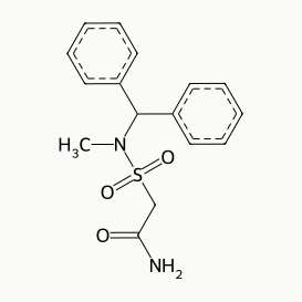 CN(C(c1ccccc1)c1ccccc1)S(=O)(=O)CC(N)=O